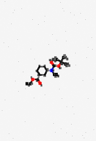 COC(=O)[C@@H]1CCC[C@H](N(C)C(=O)OC(C)(C)C)C1